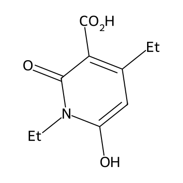 CCc1cc(O)n(CC)c(=O)c1C(=O)O